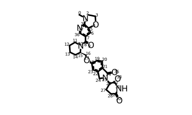 CN1CCOc2cc(C(=O)N3CCCC[C@@H]3COc3ccc4c(c3)CN(C3CCC(=O)NC3=O)C4=O)cnc21